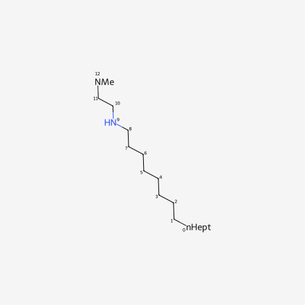 [CH2]CCCCCCCCCCCCCCNCCNC